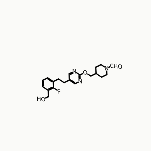 O=CN1CCC(COc2ncc(CCc3cccc(CO)c3F)cn2)CC1